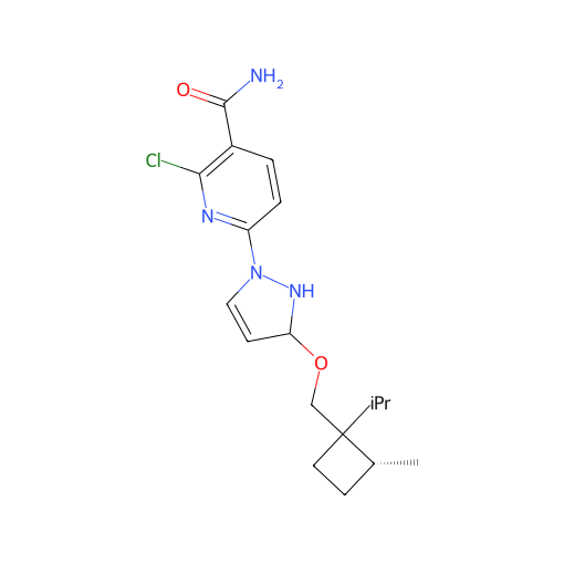 CC(C)C1(COC2C=CN(c3ccc(C(N)=O)c(Cl)n3)N2)CC[C@H]1C